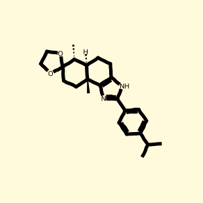 CC(C)c1ccc(-c2nc3c([nH]2)CC[C@@H]2[C@@H](C)C4(CC[C@@]32C)OCCO4)cc1